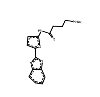 CC(=O)NCCCC(=O)Nc1ccc(-c2nc3ccccc3s2)o1